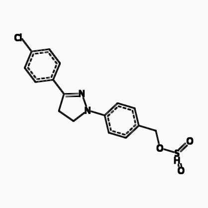 O=[SH](=O)OCc1ccc(N2CCC(c3ccc(Cl)cc3)=N2)cc1